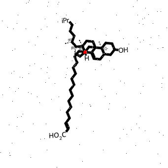 CC(C)CCC[C@@H](C)[C@H]1CC[C@H]2C3=CCC4CC(O)CC[C@]4(C)C3(CCCCCCCCCCCCCCCC=CC(=O)O)CC[C@]12C